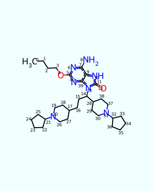 CCCCOc1nc(N)c2[nH]c(=O)n(C(CCC3CCN(C4CCCC4)CC3)C3CCN(C4CCCC4)CC3)c2n1